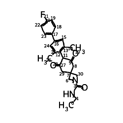 CCNC(=O)N1CC2(CC(=O)C(c3c(C)cc(-c4ccc(F)cc4)cc3C)C(=O)C2)C1